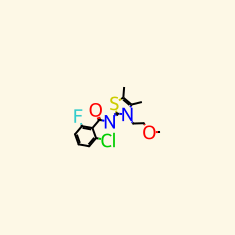 COCCn1c(C)c(C)sc1=NC(=O)c1c(F)cccc1Cl